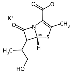 CC1=C(C(=O)[O-])N2C(=O)C(C(C)CO)[C@H]2S1.[K+]